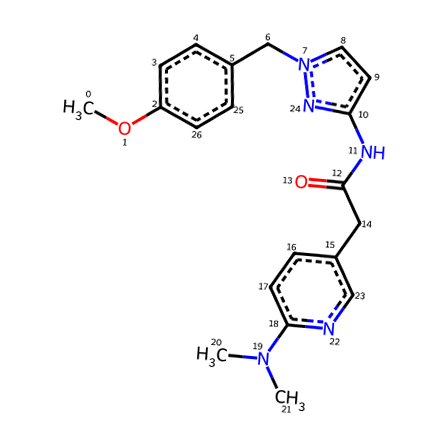 COc1ccc(Cn2ccc(NC(=O)Cc3ccc(N(C)C)nc3)n2)cc1